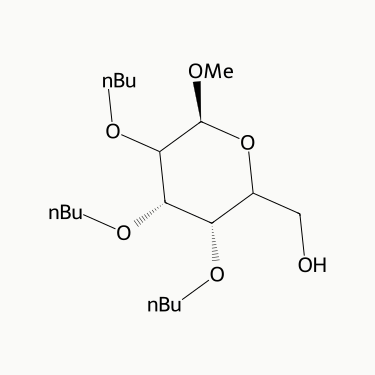 CCCCOC1[C@@H](OC)OC(CO)[C@H](OCCCC)[C@@H]1OCCCC